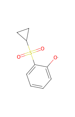 [O]c1ccccc1S(=O)(=O)C1CC1